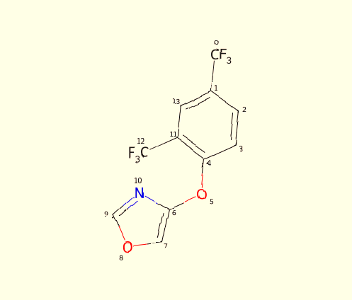 FC(F)(F)c1ccc(Oc2co[c]n2)c(C(F)(F)F)c1